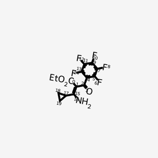 CCOC(=O)C(C(=O)c1c(F)c(F)c(F)c(F)c1F)=C(N)C1CC1